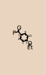 CCOc1ccc(C(=O)F)cc1